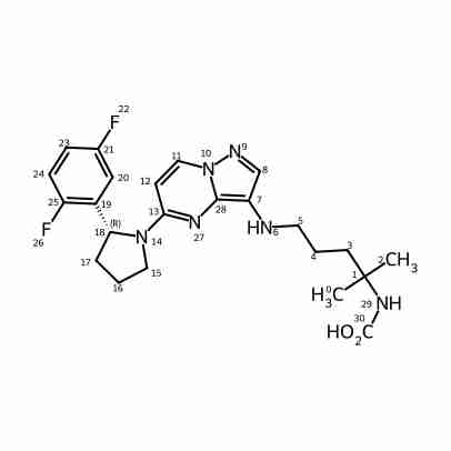 CC(C)(CCCNc1cnn2ccc(N3CCC[C@@H]3c3cc(F)ccc3F)nc12)NC(=O)O